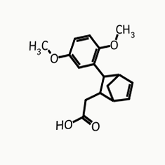 COc1ccc(OC)c(C2C3C=CC(C3)C2CC(=O)O)c1